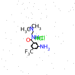 CN(C)CCNC(=O)c1cc(N)cc(C(F)(F)F)c1.Cl.Cl